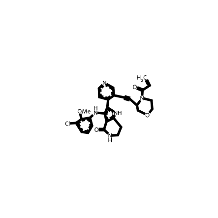 C=CC(=O)N1CCOCC1C#Cc1cnccc1-c1[nH]c2c(c1Nc1cccc(Cl)c1OC)C(=O)NCC2